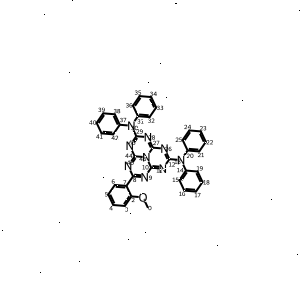 COc1ccccc1C1=NC2=NC(N(c3ccccc3)c3ccccc3)=NC3=NC(N(c4ccccc4)c4ccccc4)=NC(=N1)N23